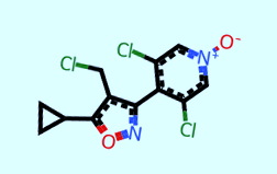 [O-][n+]1cc(Cl)c(-c2noc(C3CC3)c2CCl)c(Cl)c1